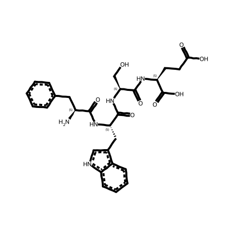 N[C@@H](Cc1ccccc1)C(=O)N[C@@H](Cc1c[nH]c2ccccc12)C(=O)N[C@@H](CO)C(=O)N[C@@H](CCC(=O)O)C(=O)O